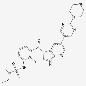 CCN(C)S(=O)(=O)Nc1cccc(C(=O)c2c[nH]c3ncc(-c4cnc(N5CCNCC5)nc4)cc23)c1F